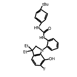 CCC1(CC)CN(c2ccccc2NC(=O)Nc2ccc(C(C)(C)C)cc2)c2c1ccc(F)c2O